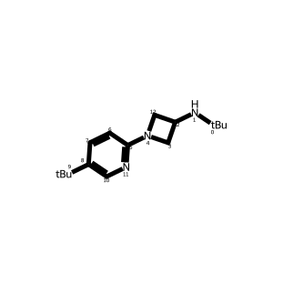 CC(C)(C)NC1CN(c2ccc(C(C)(C)C)cn2)C1